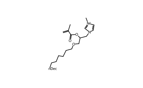 C=C(C)C(=O)OC(COCCCCCCCCCCCCCCCC)Cn1cc[n+](C)c1